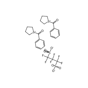 O=C(c1ccccc1)[S+]1CCCC1.O=C(c1ccccc1)[S+]1CCCC1.O=S(=O)([O-])C(F)(F)C(F)(F)C(F)(F)S(=O)(=O)[O-]